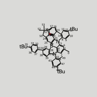 Cc1cc2c3c(c1)N(c1ccc(C(C)(C)C)cc1-c1ccccc1)c1cc4c(cc1B3c1cc(-c3ccc(C(C)(C)C)cc3)ccc1N2c1ccc(C(C)(C)C)cc1C)CC(C)(C)C4